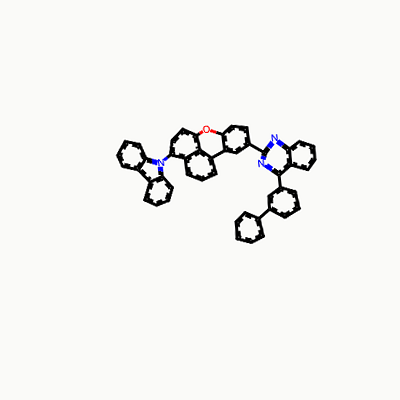 c1ccc(-c2cccc(-c3nc(-c4ccc5c(c4)-c4cccc6c(-n7c8ccccc8c8ccccc87)ccc(c46)O5)nc4ccccc34)c2)cc1